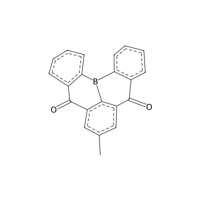 Cc1cc2c3c(c1)C(=O)c1ccccc1B3c1ccccc1C2=O